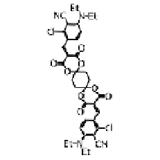 CCN(CC)c1ccc(C=C2C(=O)OC3(CCC4(CC3)OC(=O)C(=Cc3ccc(N(CC)CC)c(C#N)c3Cl)C(=O)O4)OC2=O)c(Cl)c1C#N